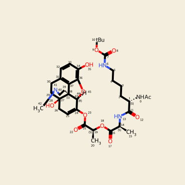 CC(=O)N[C@@H](CCCCNC(=O)OC(C)(C)C)C(=O)N[C@@H](C)C(=O)O[C@@H](C)C(=O)OC1=CC[C@]2(O)C3Cc4ccc(O)c5c4[C@@]2(CCN3C)[C@H]1O5